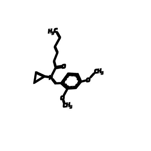 CCCCCC(=O)N(Cc1ccc(OC)cc1OC)C1CC1